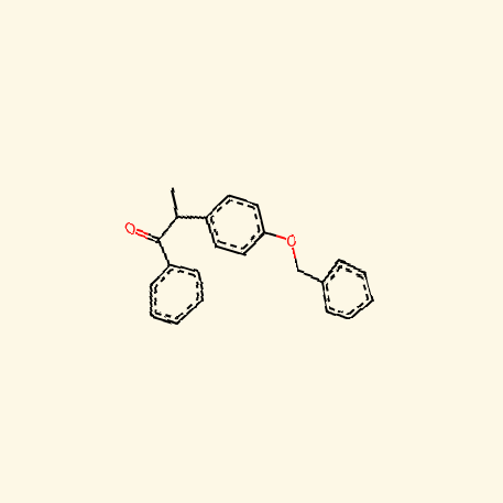 CC(C(=O)c1ccccc1)c1ccc(OCc2ccccc2)cc1